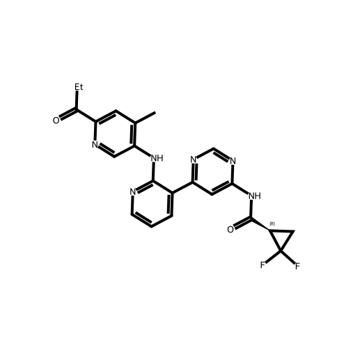 CCC(=O)c1cc(C)c(Nc2ncccc2-c2cc(NC(=O)[C@H]3CC3(F)F)ncn2)cn1